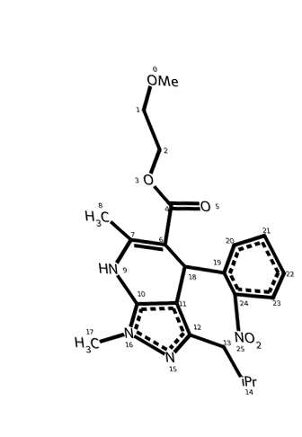 COCCOC(=O)C1=C(C)Nc2c(c(CC(C)C)nn2C)C1c1ccccc1[N+](=O)[O-]